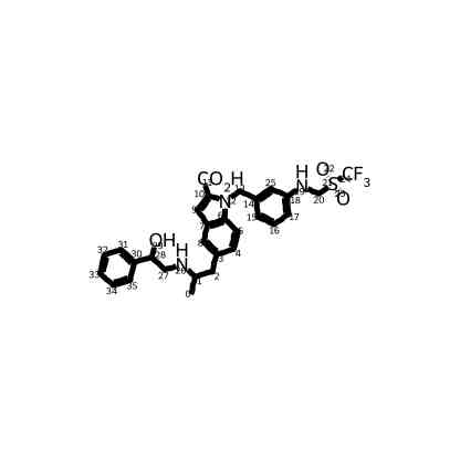 CC(Cc1ccc2c(c1)cc(C(=O)O)n2Cc1cccc(NCS(=O)(=O)C(F)(F)F)c1)NCC(O)c1ccccc1